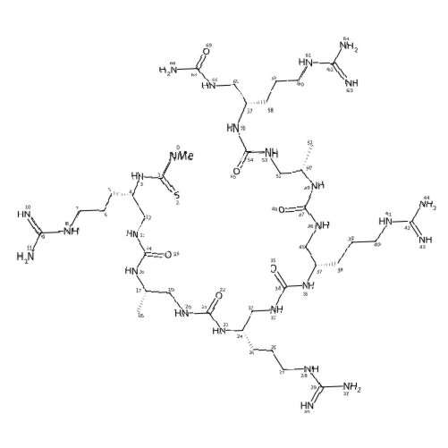 CNC(=S)N[C@@H](CCCNC(=N)N)CNC(=O)N[C@@H](C)CNC(=O)N[C@@H](CCCNC(=N)N)CNC(=O)N[C@@H](CCCNC(=N)N)CNC(=O)N[C@@H](C)CNC(=O)N[C@@H](CCCNC(=N)N)CNC(N)=O